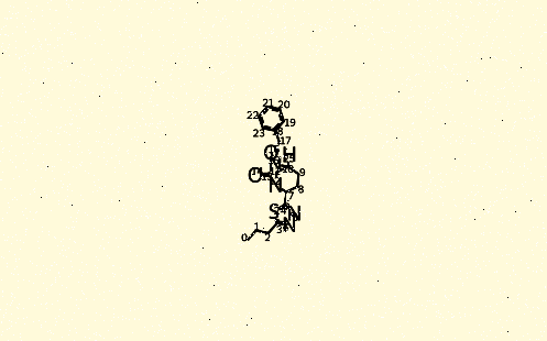 CCCc1nnc([C@@H]2CC[C@@H]3CN2C(=O)N3OCc2ccccc2)s1